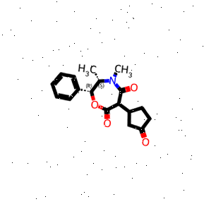 C[C@H]1[C@@H](c2ccccc2)OC(=O)C(C2CCC(=O)C2)C(=O)N1C